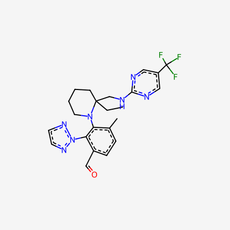 CCC1(CNc2ncc(C(F)(F)F)cn2)CCCCN1c1c(C)ccc(C=O)c1-n1nccn1